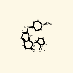 CSN1CCC(Nc2ncc3ccc(=O)n(C4CCCC4C)c3n2)CC1